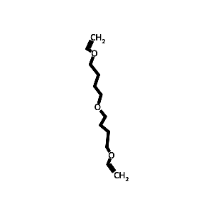 C=COCCCCOCCCCOC=C